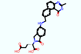 CC1=Nc2ccc3ccc(CNc4ccc5c(c4)CN([C@@H](CCC(=O)O)C(=O)O)C5=O)cc3c2C(=O)[N]1